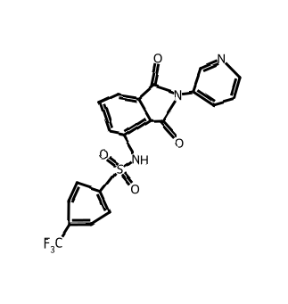 O=C1c2cccc(NS(=O)(=O)c3ccc(C(F)(F)F)cc3)c2C(=O)N1c1cccnc1